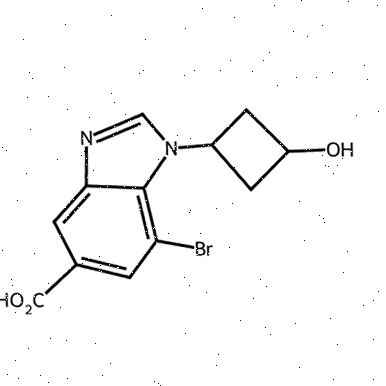 O=C(O)c1cc(Br)c2c(c1)ncn2C1CC(O)C1